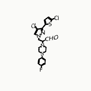 O=CC(Cn1cc(Cl)c(-c2ccc(Cl)s2)n1)N1CCN(c2ccc(F)cc2)CC1